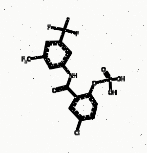 CC(F)(F)c1cc(NC(=O)c2cc(Cl)ccc2OP(=O)(O)O)cc(C(F)(F)F)c1